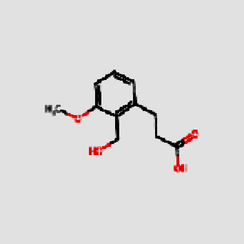 COc1cccc(CCC(=O)O)c1CO